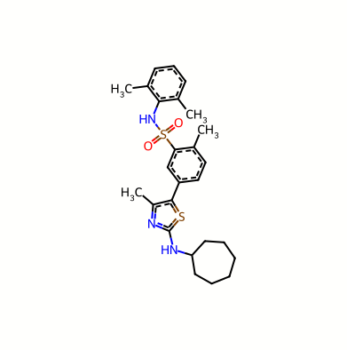 Cc1ccc(-c2sc(NC3CCCCCC3)nc2C)cc1S(=O)(=O)Nc1c(C)cccc1C